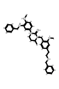 COc1cc(CCOCc2ccccc2)ccc1CN1C(=O)N(c2ccc(OC)c(OCc3ccccc3)c2)CCC1C